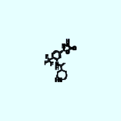 CC(Nc1cc(-c2n[nH]c(=O)o2)ccc1C(F)(F)F)C1CCCNCC1